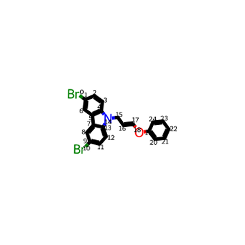 Brc1ccc2c(c1)c1cc(Br)ccc1n2CC=COc1ccccc1